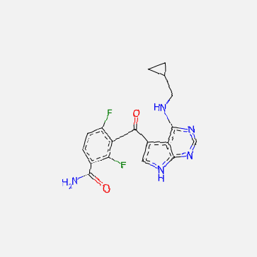 NC(=O)c1ccc(F)c(C(=O)c2c[nH]c3ncnc(NCC4CC4)c23)c1F